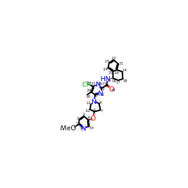 COc1ccc(OC2CCN(c3nc(C(=O)N[C@H]4CCCc5ccccc54)nc(Cl)c3C)CC2)cn1